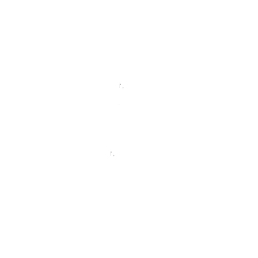 c1ccc(-n2c3cccc(-c4cccc(N(c5ccc6ccccc6c5)c5ccc6c(ccc7ccccc76)c5)c4)c3c3c4ccccc4ccc32)cc1